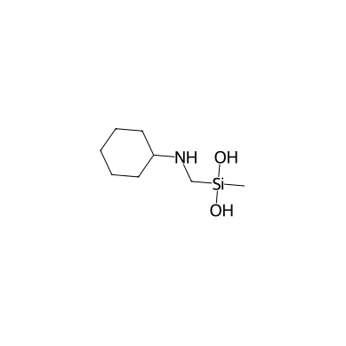 C[Si](O)(O)CNC1CCCCC1